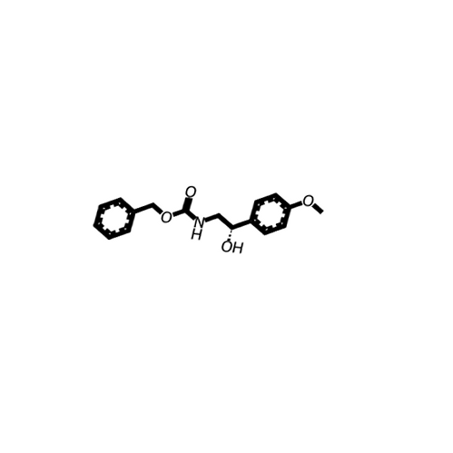 COc1ccc([C@H](O)CNC(=O)OCc2ccccc2)cc1